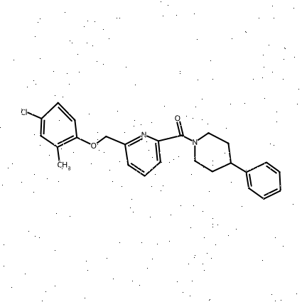 Cc1cc(Cl)ccc1OCc1cccc(C(=O)N2CCC(c3ccccc3)CC2)n1